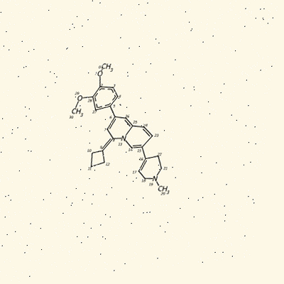 COc1ccc(C2=CC(=C3CCC3)N3C=C(C4=CCN(C)CC4)C=CC3=C2)cc1OC